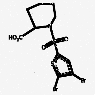 O=C(O)C1CCCCN1S(=O)(=O)c1cc(Br)c(Br)s1